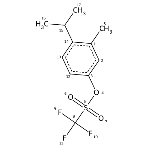 Cc1cc(OS(=O)(=O)C(F)(F)F)ccc1C(C)C